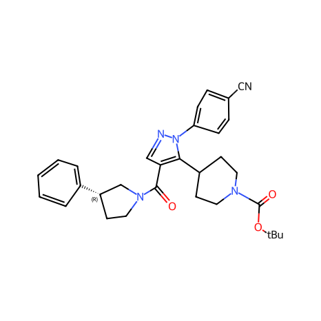 CC(C)(C)OC(=O)N1CCC(c2c(C(=O)N3CC[C@H](c4ccccc4)C3)cnn2-c2ccc(C#N)cc2)CC1